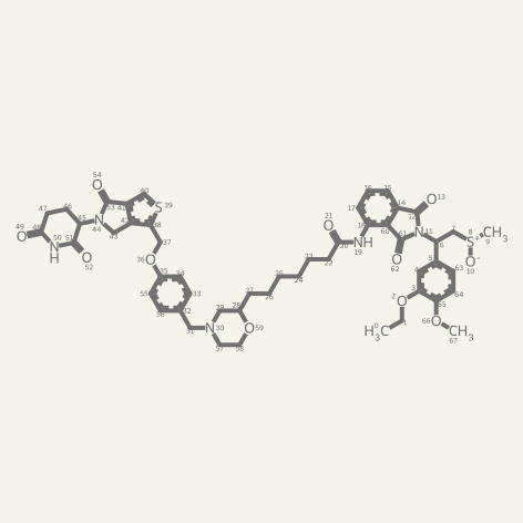 CCOc1cc(C(C[S+](C)[O-])N2C(=O)c3cccc(NC(=O)CCCCCCC4CN(Cc5ccc(OCc6scc7c6CN(C6CCC(=O)NC6=O)C7=O)cc5)CCO4)c3C2=O)ccc1OC